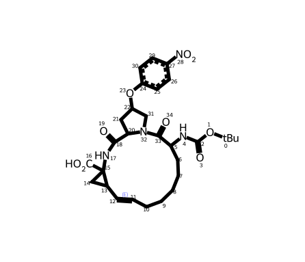 CC(C)(C)OC(=O)NC1CCCCC/C=C/C2CC2(C(=O)O)NC(=O)C2CC(Oc3ccc([N+](=O)[O-])cc3)CN2C1=O